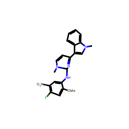 COc1cc(F)c([N+](=O)[O-])cc1NC1N=C(c2cn(C)c3ccccc23)C=CN1C